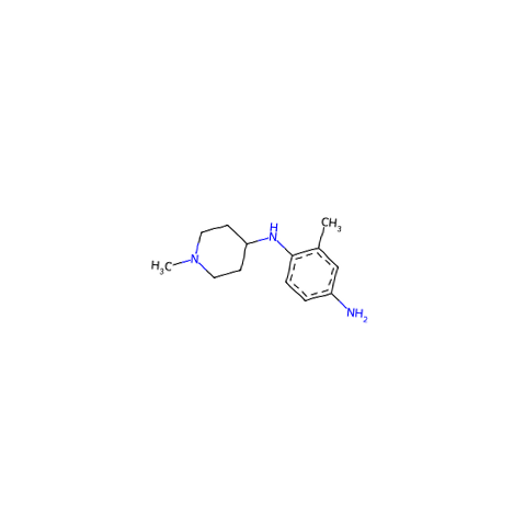 Cc1cc(N)ccc1NC1CCN(C)CC1